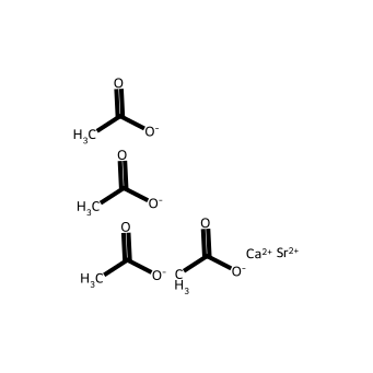 CC(=O)[O-].CC(=O)[O-].CC(=O)[O-].CC(=O)[O-].[Ca+2].[Sr+2]